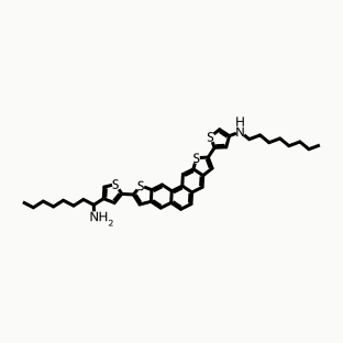 CCCCCCCCNc1csc(-c2cc3cc4ccc5cc6cc(-c7cc(C(N)CCCCCCC)cs7)sc6cc5c4cc3s2)c1